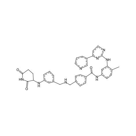 Cc1ccc(NC(=O)c2ccc(CNCc3cccc(NC4CCC(=O)NC4=O)c3)cc2)cc1Nc1nccc(-c2cccnc2)n1